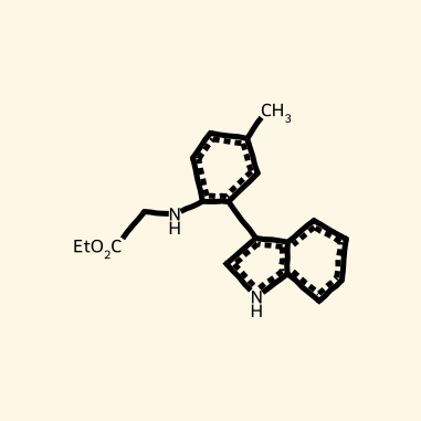 CCOC(=O)CNc1ccc(C)cc1-c1c[nH]c2ccccc12